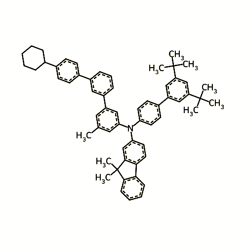 Cc1cc(-c2cccc(-c3ccc(C4CCCCC4)cc3)c2)cc(N(c2ccc(-c3cc(C(C)(C)C)cc(C(C)(C)C)c3)cc2)c2ccc3c(c2)C(C)(C)c2ccccc2-3)c1